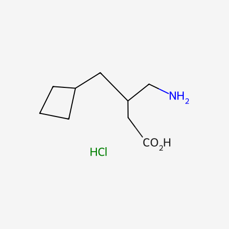 Cl.NCC(CC(=O)O)CC1CCC1